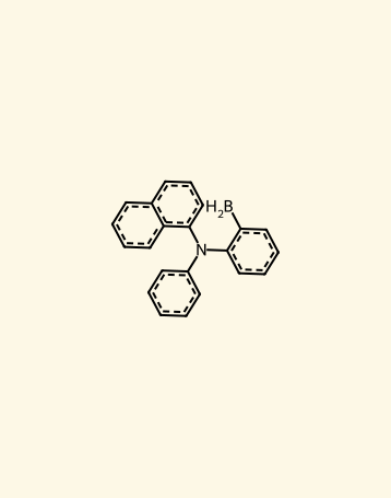 Bc1ccccc1N(c1ccccc1)c1cccc2ccccc12